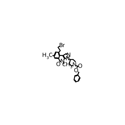 Cc1cc(CCBr)c2c(c1)c(=O)n(C)c1c2cnn1C1CCN(C(=O)OCc2ccccc2)CC1